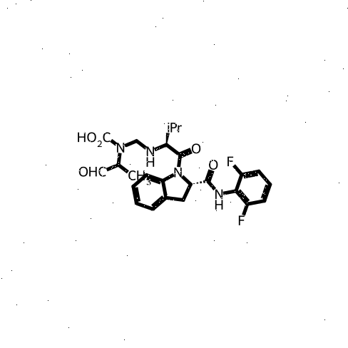 CC(C)[C@H](NCN(C(=O)O)C(C)C=O)C(=O)N1c2ccccc2C[C@H]1C(=O)Nc1c(F)cccc1F